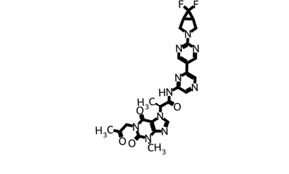 CC(=O)Cn1c(=O)c2c(ncn2[C@@H](C)C(=O)Nc2cncc(-c3cnc(N4CC5C(C4)C5(F)F)nc3)n2)n(C)c1=O